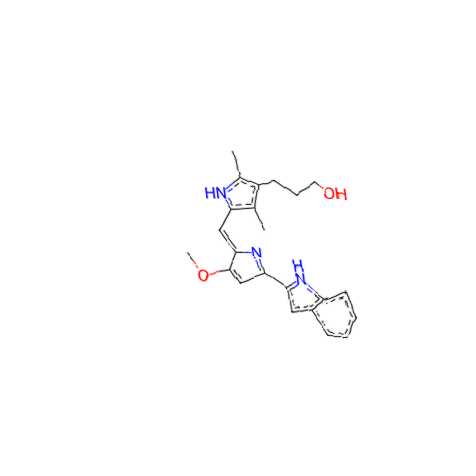 COC1=CC(c2cc3ccccc3[nH]2)=NC1=Cc1[nH]c(C)c(CCCO)c1C